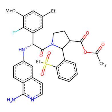 CCc1cc(OC)c(F)c([C@@H](Nc2ccc3c(N)nccc3c2)C(=O)N2CCC(C(=O)OC(=O)C(F)(F)F)C2c2ccccc2S(=O)(=O)CC)c1